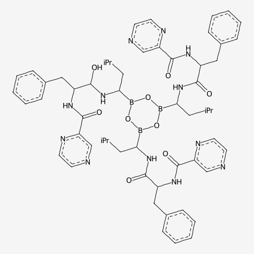 CC(C)CC(NC(=O)C(Cc1ccccc1)NC(=O)c1cnccn1)B1OB(C(CC(C)C)NC(=O)C(Cc2ccccc2)NC(=O)c2cnccn2)OB(C(CC(C)C)NC(O)C(Cc2ccccc2)NC(=O)c2cnccn2)O1